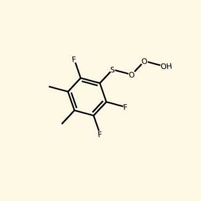 Cc1c(C)c(F)c(SOOO)c(F)c1F